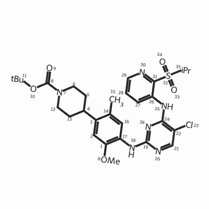 COc1cc(C2CCN(C(=O)OC(C)(C)C)CC2)c(C)cc1Nc1ncc(Cl)c(Nc2cccnc2S(=O)(=O)C(C)C)n1